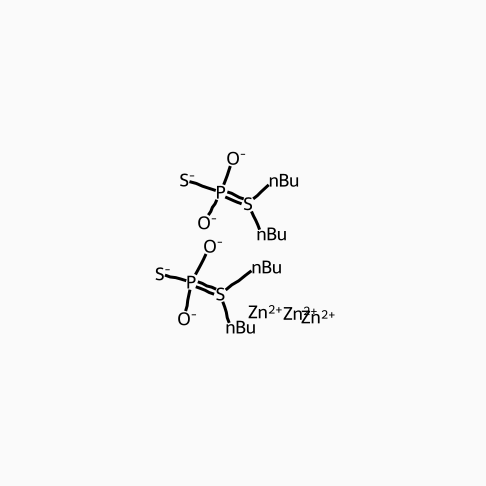 CCCCS(CCCC)=P([O-])([O-])[S-].CCCCS(CCCC)=P([O-])([O-])[S-].[Zn+2].[Zn+2].[Zn+2]